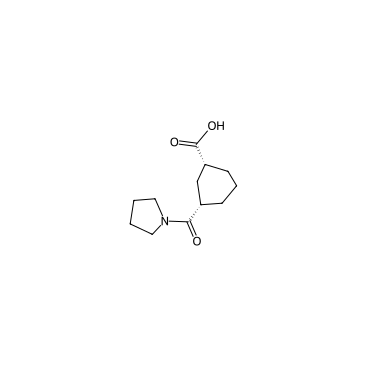 O=C(O)[C@@H]1CCC[C@H](C(=O)N2CCCC2)C1